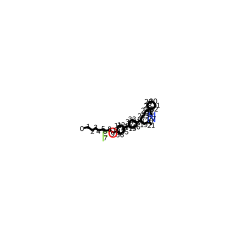 CCCCCCC(F)COc1ccc(-c2ccc(C(CCC)CCCC3(C#N)CCCCC3)cc2)cc1